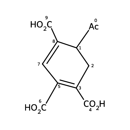 CC(=O)C1CC(C(=O)O)=C(C(=O)O)C=C1C(=O)O